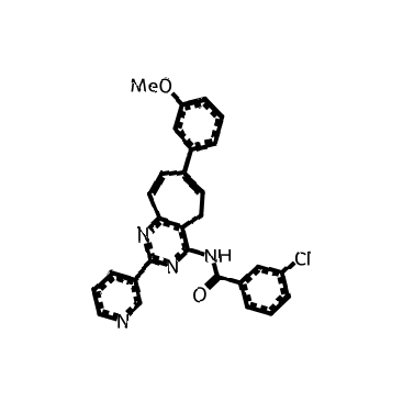 COc1cccc(C2=CCc3c(nc(-c4cccnc4)nc3NC(=O)c3cccc(Cl)c3)C=C2)c1